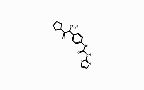 O=C(Nc1ccc(C(C(=O)O)C(=O)C2CCCC2)cc1)Nc1nccs1